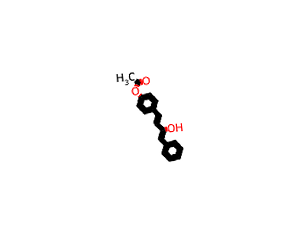 CC(=O)Oc1ccc(C=CC(O)=Cc2ccccc2)cc1